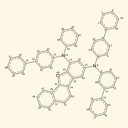 c1ccc(-c2ccc(N(c3cccc(-c4ccccc4)c3)c3cc(N(c4ccccc4)c4ccc(-c5ccccc5)cc4)c4oc5c6ccccc6ccc5c4c3)cc2)cc1